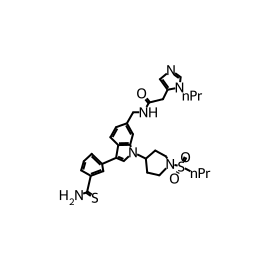 CCCn1cncc1CC(=O)NCc1ccc2c(-c3cccc(C(N)=S)c3)cn(C3CCN(S(=O)(=O)CCC)CC3)c2c1